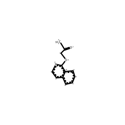 CC(=O)COc1nccc2ccccc12